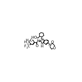 C=C/C(=C\C(=C)C(F)(F)F)C(=O)/N=c1\[nH]c2cc(N3CCOCC3=O)ccc2n1C1CCCCC1CO